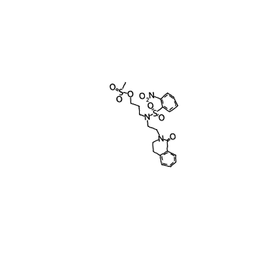 CS(=O)(=O)OCCCN(CCN1CCc2ccccc2C1=O)S(=O)(=O)c1ccccc1[N+](=O)[O-]